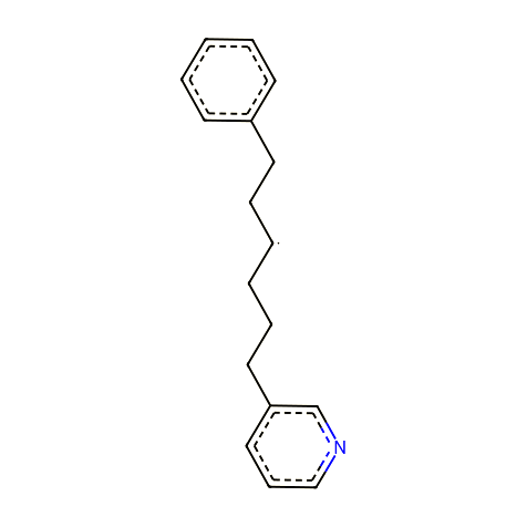 [CH](CCCc1cccnc1)CCc1ccccc1